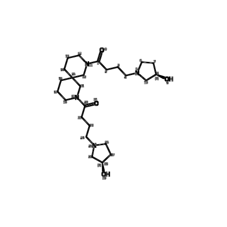 O=C(CCCN1CC[C@@H](O)C1)N1CCCC2(CCCN(C(=O)CCCN3CC[C@@H](O)C3)C2)C1